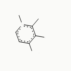 CCCCCc1c(C(=O)O)cc[n+](C)c1C